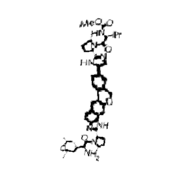 COC(=O)N[C@H](C(=O)N1[C@@H](C)CC[C@H]1c1ncc(-c2ccc3c(c2)COc2cc4c(ccc5nc([C@@H]6CC[C@H](C)N6C(=O)[C@@H](N)[C@H]6C[C@@H](C)O[C@@H](C)C6)[nH]c54)cc2-3)[nH]1)C(C)C